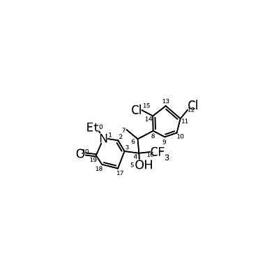 CCn1cc(C(O)(C(C)c2ccc(Cl)cc2Cl)C(F)(F)F)ccc1=O